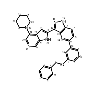 c1ccc(COc2cncc(-c3ccc4[nH]nc(-c5cc6c(N7CCCCC7)cncc6[nH]5)c4n3)c2)cc1